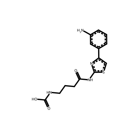 Nc1cccc(-c2csc(NC(=O)CCCNC(=O)O)n2)c1